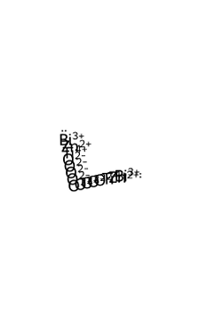 [Bi+3].[Bi+3].[O-2].[O-2].[O-2].[O-2].[O-2].[O-2].[O-2].[O-2].[O-2].[Ti+4].[Ti+4].[Zn+2].[Zn+2]